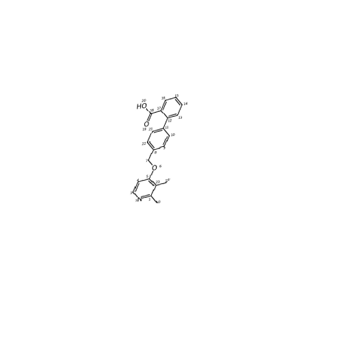 Cc1nccc(OCc2ccc(-c3ccccc3C(=O)O)cc2)c1C